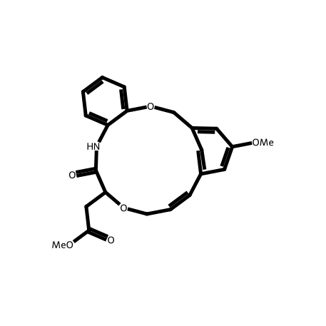 COC(=O)CC1OC/C=C\c2cc(cc(OC)c2)COc2ccccc2NC1=O